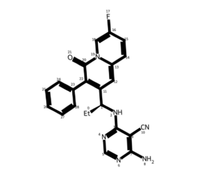 CC[C@H](Nc1ncnc(N)c1C#N)c1cc2ccc(F)cn2c(=O)c1-c1ccccc1